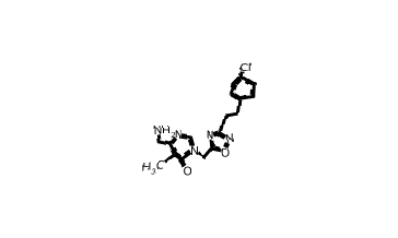 Cc1c(CN)ncn(Cc2nc(CCc3ccc(Cl)cc3)no2)c1=O